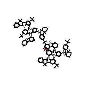 CC(C)(C)c1cc2c3c(c1)-n1c4c(c5cc(C(C)(C)C)cc(c51)B3c1ccc(N3c5ccc(C(C)(C)c6cccc7c6sc6cccc(N8c9cc(N%10c%11ccc(C(C)(C)C)cc%11C%11(C)CCCCC%10%11C)ccc9B9c%10c8cc(C(C)(C)C)cc%10-n8c%10c(c%11cc(C(C)(C)C)cc9c%118)C(C)(C)c8ccccc8-%10)c67)cc5C5(C)CCCCC35C)cc1N2c1cccc2c1sc1ccccc12)C(C)(C)c1ccccc1-4